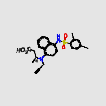 C#CCN(c1ccc(NS(=O)(=O)c2ccc(C)cc2C)c2ccccc12)[C@@H](C)CC(=O)O